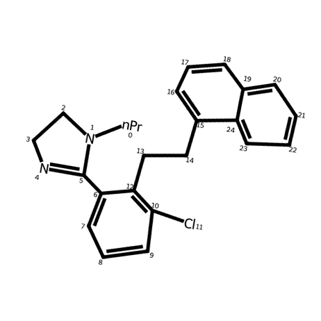 CCCN1CCN=C1c1cccc(Cl)c1CCc1cccc2ccccc12